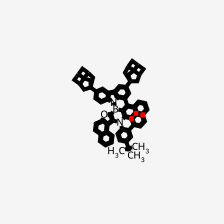 CC(C)(C)c1ccc(N2c3cc4ccccc4c4c3B(c3oc5ccc6ccccc6c5c32)n2c3ccc(C56CC7CC8CC(C5)C87C6)cc3c3cc(C56CC7CC8CC(C5)C87C6)cc-4c32)c(-c2ccccc2)c1